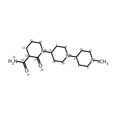 CN1CCC(N2CCC(N3CCCC(C(N)=O)C3=O)CC2)CC1